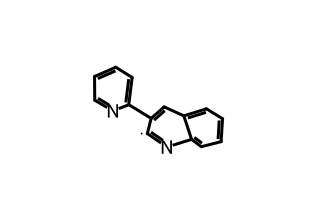 [c]1nc2ccccc2cc1-c1ccccn1